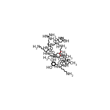 CC(C)CC(NC(=O)C(CCCCN)NC(=O)c1cc(O)cc(O)c1)C(=O)NC(C)C(=O)NC(CCCCN)C(=O)NC(CC(C)C)C(=O)NC(C)C(=O)NC(CCCCN)C(=O)NC(CCCNC(=N)N)C(=O)NCC(=O)NC(CC(=O)O)C(N)=O